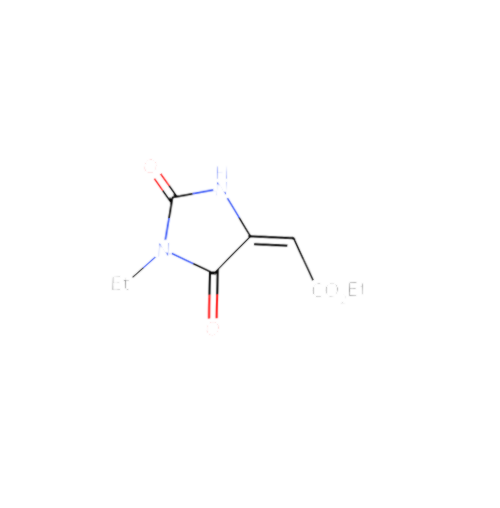 CCOC(=O)C=C1NC(=O)N(CC)C1=O